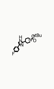 CC(C)(C)OC(=O)N1CCC(c2nc(-c3ccc(F)cc3)c[nH]2)CC1